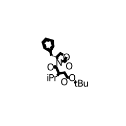 CC(C)C(CC(=O)OC(C)(C)C)C(=O)N1C(=O)OC[C@H]1Cc1ccccc1